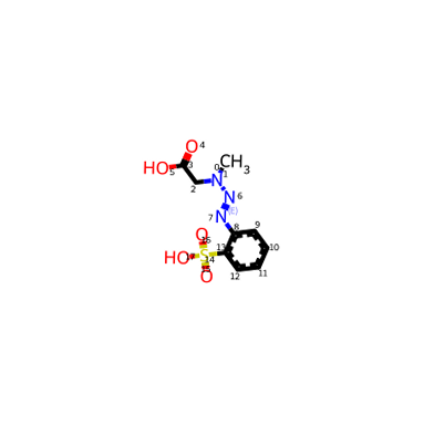 CN(CC(=O)O)/N=N/c1ccccc1S(=O)(=O)O